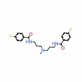 CN(CCCNC(=O)c1ccc(F)cc1)CCCNC(=O)c1ccc(F)cc1